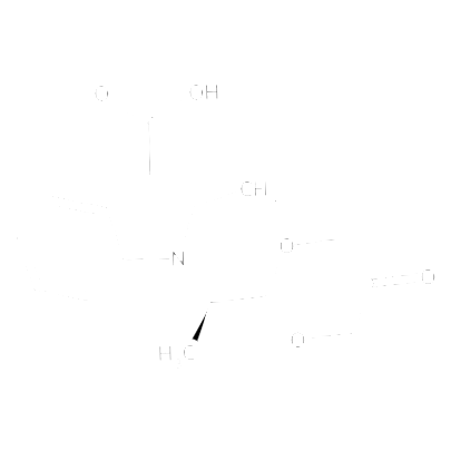 Cc1c(C(=O)O)c2ccccc2n1[C@H](C)C1OCC(=O)CO1